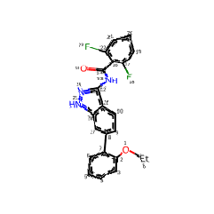 CCOc1ccccc1-c1ccc2c(NC(=O)c3c(F)cccc3F)n[nH]c2c1